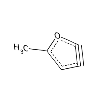 Cc1cc#co1